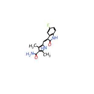 Cc1[nH]c(C=C2C(=O)Nc3ccc(F)cc32)c(C)c1C(N)=O